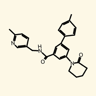 Cc1ccc(-c2cc(C(=O)NCc3ccc(C)nc3)cc(N3CCCCC3=O)c2)cc1